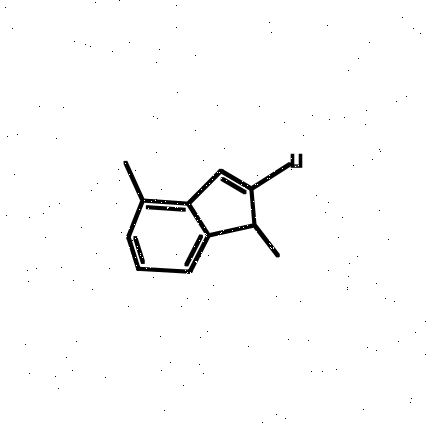 [Li][C]1=Cc2c(C)cccc2C1C